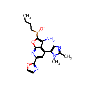 CCCC[S+]([O-])c1oc2nc(-c3ncco3)cc(-c3cnc(C)n3C)c2c1N